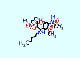 CCCCCNC1c2cc(OC)c(NS(C)(=O)=O)cc2OC(C)(C)C1O